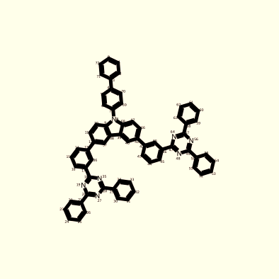 c1ccc(-c2ccc(-n3c4ccc(-c5cccc(-c6nc(-c7ccccc7)nc(-c7ccccc7)n6)c5)cc4c4cc(-c5cccc(-c6nc(-c7ccccc7)nc(-c7ccccc7)n6)c5)ccc43)cc2)cc1